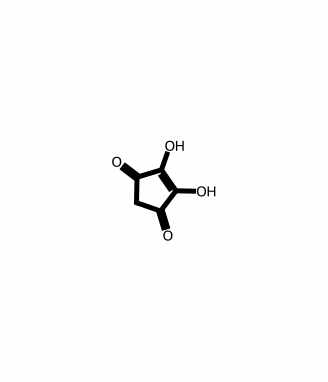 O=C1CC(=O)C(O)=C1O